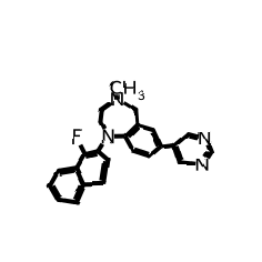 CN1CCN(c2ccc3ccccc3c2F)c2ccc(-c3cncnc3)cc2C1